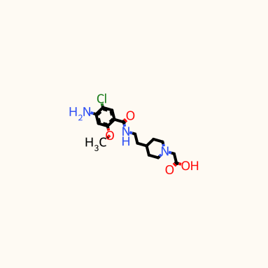 COc1cc(N)c(Cl)cc1C(=O)NCCC1CCN(CC(=O)O)CC1